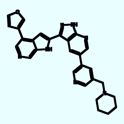 c1cc(-c2cncc3[nH]c(-c4n[nH]c5ncc(-c6cncc(CN7CCCCC7)c6)cc45)cc23)co1